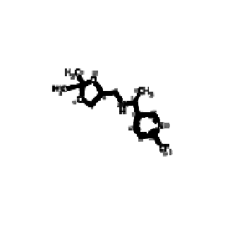 C[C@H](NCC1COC(C)(C)O1)c1ccc(C(F)(F)F)nc1